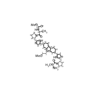 COCCn1c2cc(-c3cnc([C@@H]4CCCN4C(=O)[C@H](C)N)[nH]3)ccc2c2ccc(-c3cnc([C@@H]4CCCN4C(=O)[C@H](C)NC(=O)OC)[nH]3)cc21